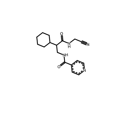 N#CCNC(=O)C(CNC(=O)c1ccncc1)C1CCCCC1